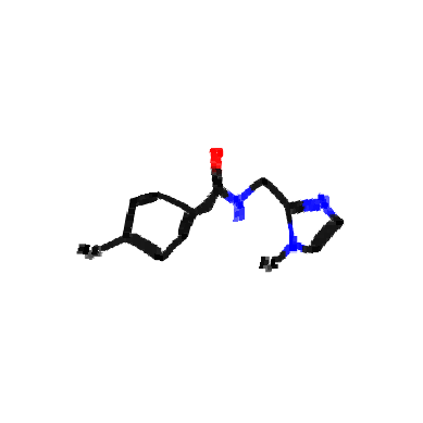 Cc1ccc(C(=O)NCc2nccn2C)cc1